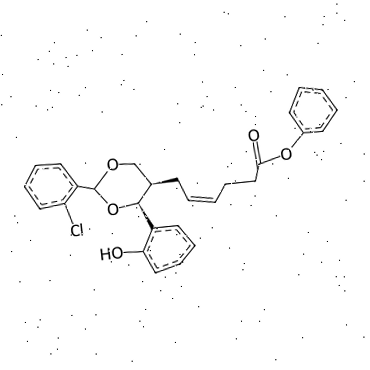 O=C(CC/C=C\C[C@@H]1COC(c2ccccc2Cl)O[C@@H]1c1ccccc1O)Oc1ccccc1